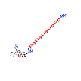 Cc1ccc(C(=O)Nc2ccc(CN3CCN(C)CC3)c(C(F)(F)F)c2)cc1C#Cc1cnc2cc(OCCOCCOCCOCCOCCOCCOCCOCCOCCOCCN=[N+]=[N-])ccn12